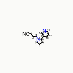 N#CCCCN1CCCC1c1cccnc1